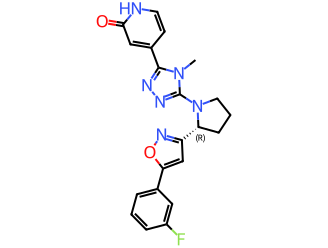 Cn1c(-c2cc[nH]c(=O)c2)nnc1N1CCC[C@@H]1c1cc(-c2cccc(F)c2)on1